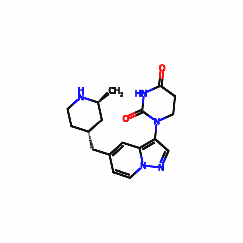 C[C@H]1C[C@H](Cc2ccn3ncc(N4CCC(=O)NC4=O)c3c2)CCN1